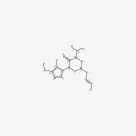 C/C=C/CN1CN(c2snc(CC)c2C)C(=O)N(C(C)C)C1